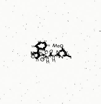 COc1cc(C)nc(NC(=O)NS(=O)(=O)Oc2ccccc2-c2ccon2)n1